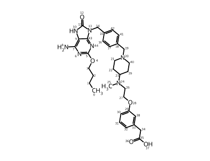 CCCCOc1nc(N)c2[nH]c(=O)n(Cc3ccc(CN4CCC(N(C)CCOc5cccc(CC(=O)O)c5)CC4)cc3)c2n1